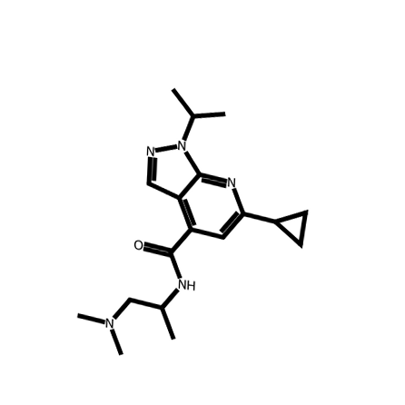 CC(CN(C)C)NC(=O)c1cc(C2CC2)nc2c1cnn2C(C)C